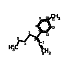 C=C=C(CCCC)c1ccc(C)cc1